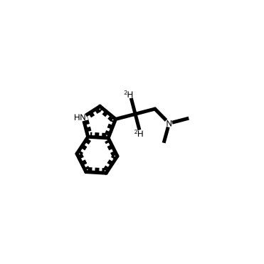 [2H]C([2H])(CN(C)C)c1c[nH]c2ccccc12